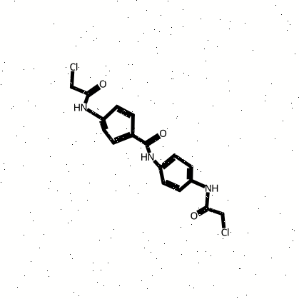 O=C(CCl)Nc1ccc(NC(=O)c2ccc(NC(=O)CCl)cc2)cc1